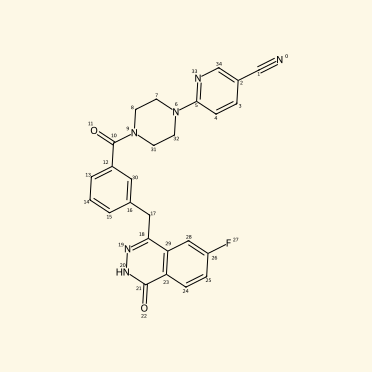 N#Cc1ccc(N2CCN(C(=O)c3cccc(Cc4n[nH]c(=O)c5ccc(F)cc45)c3)CC2)nc1